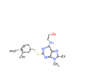 CCc1nc2c(N/C=C\O)nc(SCc3ccc(OC)c(C#N)c3)nc2n1C